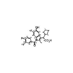 Cc1c(C(C(=O)O)C2CCCC2)c2cc(O)c(F)cc2n1C(=O)c1ccc(F)c(F)c1